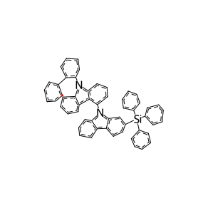 c1ccc(-c2ccccc2-n2c3ccccc3c3c(-n4c5ccccc5c5ccc([Si](c6ccccc6)(c6ccccc6)c6ccccc6)cc54)cccc32)cc1